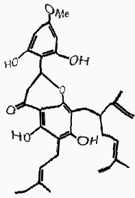 C=C(C)C(CC=C(C)C)Cc1c(O)c(CC=C(C)C)c(O)c2c1OC(c1c(O)cc(OC)cc1O)CC2=O